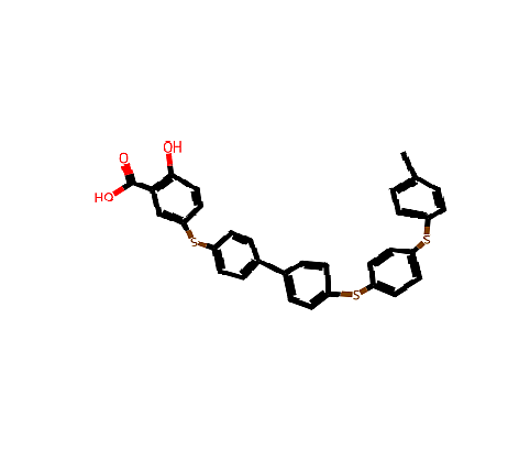 Cc1ccc(Sc2ccc(Sc3ccc(-c4ccc(Sc5ccc(O)c(C(=O)O)c5)cc4)cc3)cc2)cc1